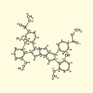 COC(=O)c1ccc(-c2c(-c3c(O)cccc3OC)sc3c2sc2c(-c4ccc(C(=O)OC)cc4)c(-c4c(OC)cccc4OC)sc23)cc1